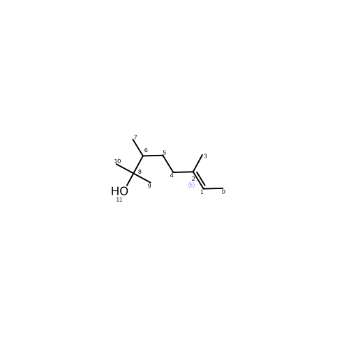 C/C=C(\C)CCC(C)C(C)(C)O